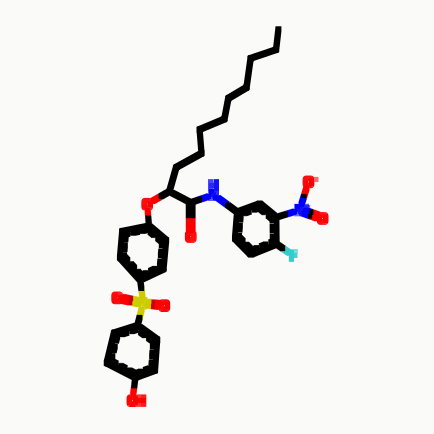 CCCCCCCCCC(Oc1ccc(S(=O)(=O)c2ccc(O)cc2)cc1)C(=O)Nc1ccc(F)c([N+](=O)[O-])c1